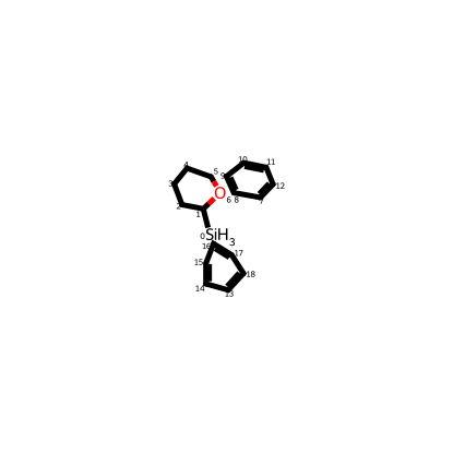 [SiH3]C1CCCCO1.c1ccccc1.c1ccccc1